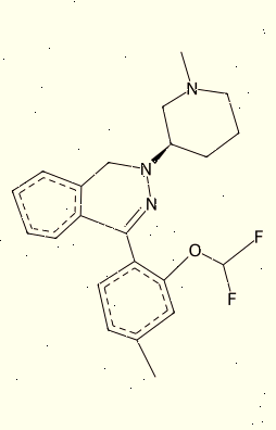 Cc1ccc(C2=NN([C@@H]3CCCN(C)C3)Cc3ccccc32)c(OC(F)F)c1